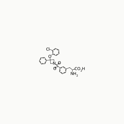 N[C@@H](Cc1cccc(S(=O)(=O)N2CC(Oc3ccccc3Cl)(c3ccccc3)C2)c1)C(=O)O